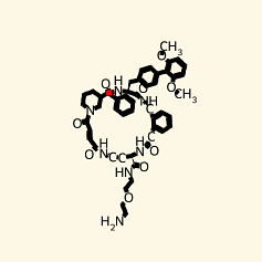 COc1cccc(OC)c1-c1ccc(C[C@@H]2NC(=O)[C@]3(Cc4ccccc4)CCCN(C3)C(=O)/C=C/C(=O)NCC[C@@H](C(=O)NCCOCCN)NC(=O)Cc3ccccc3CNC2=O)cc1